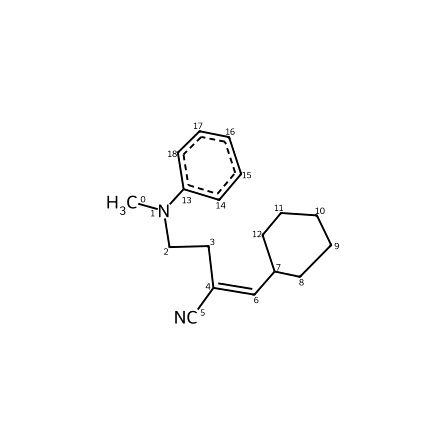 CN(CCC(C#N)=CC1CCCCC1)c1ccccc1